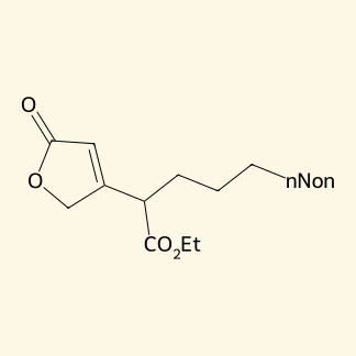 CCCCCCCCCCCCC(C(=O)OCC)C1=CC(=O)OC1